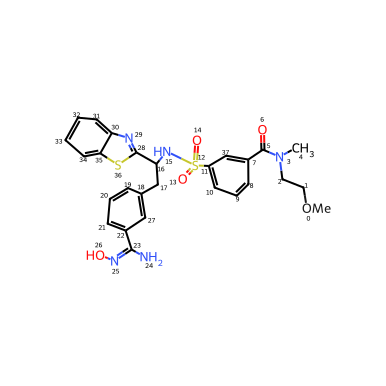 COCCN(C)C(=O)c1cccc(S(=O)(=O)NC(Cc2cccc(/C(N)=N\O)c2)c2nc3ccccc3s2)c1